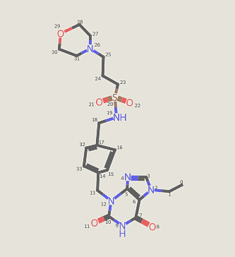 CCn1cnc2c1c(=O)[nH]c(=O)n2Cc1ccc(CNS(=O)(=O)CCCN2CCOCC2)cc1